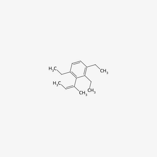 C/C=C(/C)c1c(CC)ccc(CC)c1CC